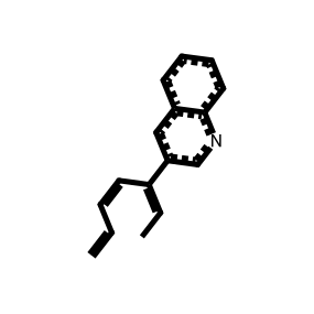 C=C/C=C\C(=C/C)c1cnc2ccccc2c1